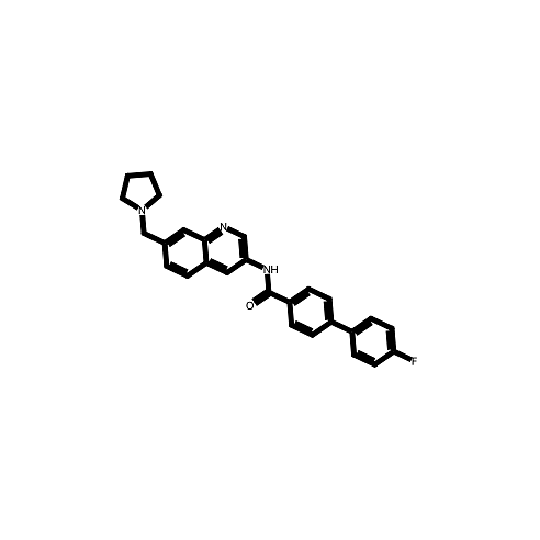 O=C(Nc1cnc2cc(CN3CCCC3)ccc2c1)c1c[c]c(-c2ccc(F)cc2)cc1